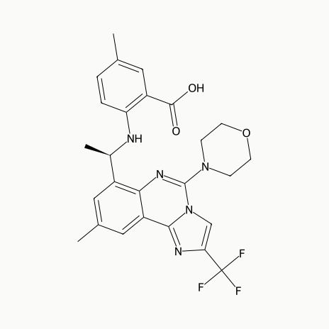 Cc1ccc(N[C@H](C)c2cc(C)cc3c2nc(N2CCOCC2)n2cc(C(F)(F)F)nc32)c(C(=O)O)c1